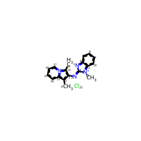 Cc1c(N=C2N=c3ccccc3=[N+]2C)c(C)n2ccccc12.[Cl-]